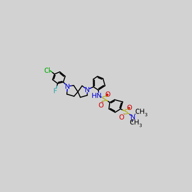 CN(C)S(=O)(=O)c1ccc(S(=O)(=O)Nc2ccccc2N2CCC3(CCN(c4ccc(Cl)cc4F)C3)C2)cc1